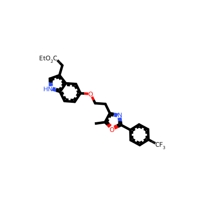 CCOC(=O)Cc1c[nH]c2ccc(OCCc3nc(-c4ccc(C(F)(F)F)cc4)oc3C)cc12